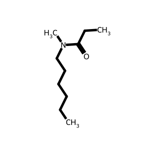 CCCCCCN(C)C(=O)CC